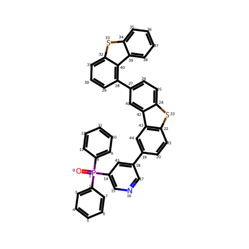 O=P(c1ccccc1)(c1ccccc1)c1cncc(-c2ccc3sc4ccc(-c5cccc6sc7ccccc7c56)cc4c3c2)c1